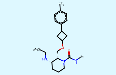 CCNC(=O)N1CCC[C@H](NCSC)[C@@H]1COC1CC(c2ccc(C(F)(F)F)cc2)C1